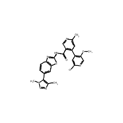 COc1cnc(Cl)cc1-c1cc(C)ncc1C(=O)Nc1nc2ccc(-c3c(C)nnn3C)cc2s1